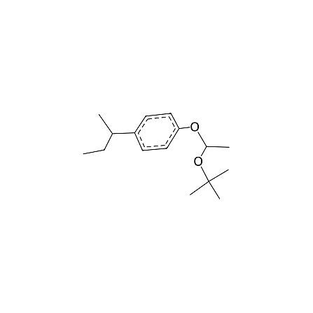 CCC(C)c1ccc(OC(C)OC(C)(C)C)cc1